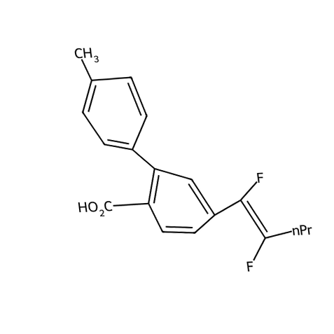 CCCC(F)=C(F)c1ccc(C(=O)O)c(-c2ccc(C)cc2)c1